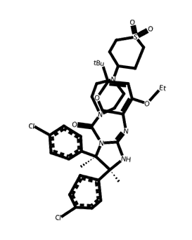 CCOC1=C(N=C2N[C@@](C)(c3ccc(Cl)cc3)[C@@](C)(c3ccc(Cl)cc3)N2C(=O)N2CCN(C3CCS(=O)(=O)CC3)CC2)COC(C(C)(C)C)=C1